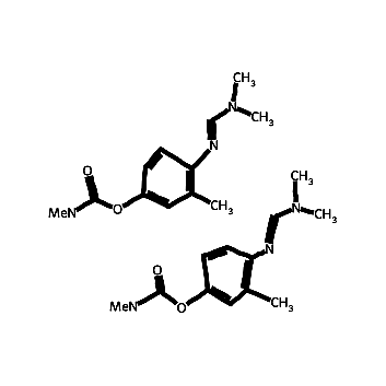 CNC(=O)Oc1ccc(/N=C/N(C)C)c(C)c1.CNC(=O)Oc1ccc(N=CN(C)C)c(C)c1